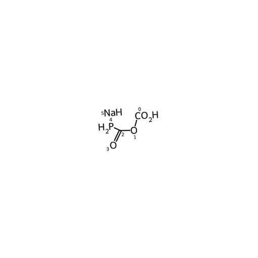 O=C(O)OC(=O)P.[NaH]